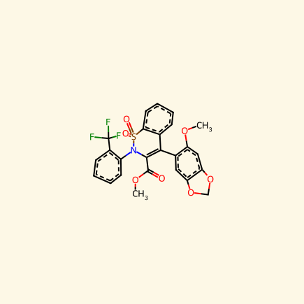 COC(=O)C1=C(c2cc3c(cc2OC)OCO3)c2ccccc2S(=O)(=O)N1c1ccccc1C(F)(F)F